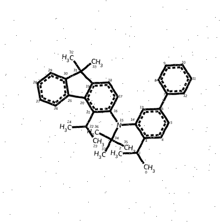 CC(C)c1ccc(-c2ccccc2)cc1N(c1ccc2c(c1C(C)C)-c1ccccc1C2(C)C)C(C)(C)C